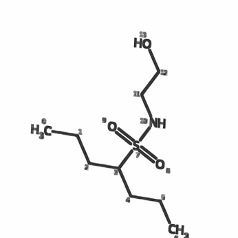 CCCC(CCC)S(=O)(=O)NCCO